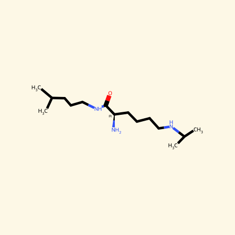 CC(C)CCCNC(=O)[C@H](N)CCCCNC(C)C